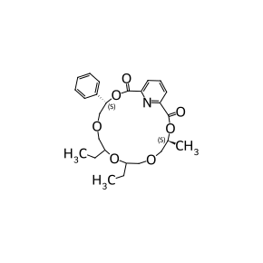 CCC1COC[C@H](C)OC(=O)c2cccc(n2)C(=O)O[C@@H](c2ccccc2)COCC(CC)O1